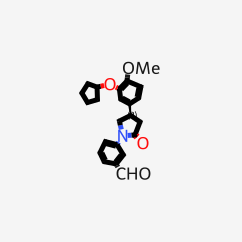 COc1ccc([C@H]2CC(=O)N(c3cccc(C=O)c3)C2)cc1OC1CCCC1